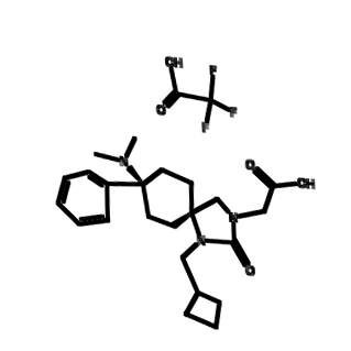 CN(C)[C@]1(c2ccccc2)CC[C@@]2(CC1)CN(CC(=O)O)C(=O)N2CC1CCC1.O=C(O)C(F)(F)F